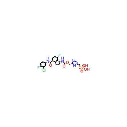 O=C(NC1CCc2c(C(=O)Nc3ccc(F)c(Cl)c3)ccc(F)c21)OCc1ncn(COP(=O)(O)O)n1